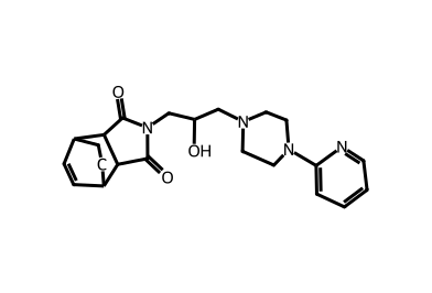 O=C1C2C3C=CC(CC3)C2C(=O)N1CC(O)CN1CCN(c2ccccn2)CC1